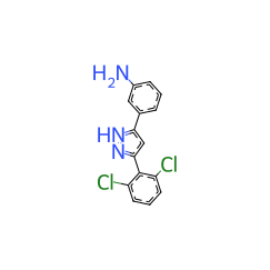 Nc1cccc(-c2cc(-c3c(Cl)cccc3Cl)n[nH]2)c1